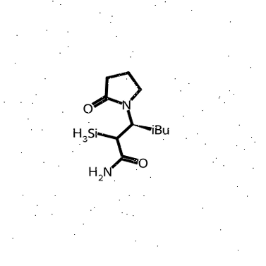 CCC(C)[C@@H](C([SiH3])C(N)=O)N1CCCC1=O